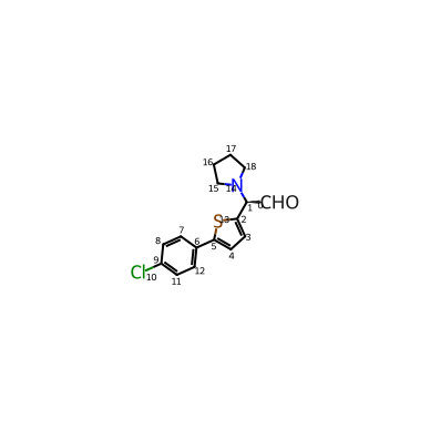 O=C[C@@H](c1ccc(-c2ccc(Cl)cc2)s1)N1CCCC1